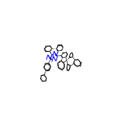 c1ccc(-c2ccc(-c3nc(-c4ccccc4-c4ccccc4)nc(-c4cccc5c4-c4ccccc4C54c5ccccc5-c5ccccc5-c5ccccc54)n3)cc2)cc1